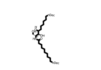 CCCCCCCCCCCCCCCCCCCC(=O)N[C@H](CO)[C@H](O)C(O)CCCCCCCCCCCCCCCC